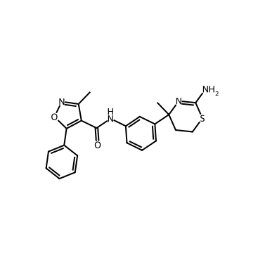 Cc1noc(-c2ccccc2)c1C(=O)Nc1cccc(C2(C)CCSC(N)=N2)c1